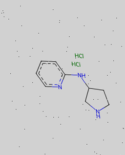 Cl.Cl.c1ccc(NC2CCNC2)nc1